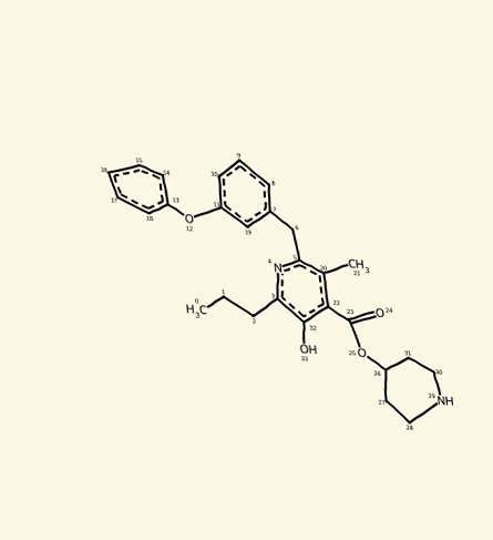 CCCc1nc(Cc2cccc(Oc3ccccc3)c2)c(C)c(C(=O)OC2CCNCC2)c1O